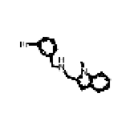 Cn1c(CNCc2cccc(Br)c2)cc2ccccc21